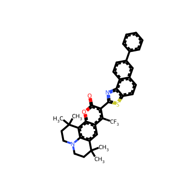 CC1(C)CCN2CCC(C)(C)c3c2c1cc1c(C(F)(F)F)c(-c2nc4c(ccc5cc(-c6ccccc6)ccc54)s2)c(=O)oc31